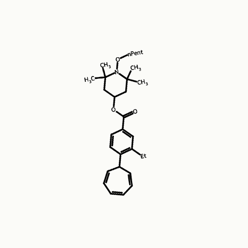 CCCCCON1C(C)(C)CC(OC(=O)c2ccc(C3C=CC=CC=C3)c(CC)c2)CC1(C)C